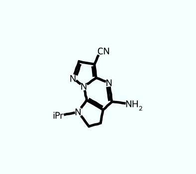 CC(C)N1CCc2c(N)nc3c(C#N)cnn3c21